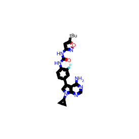 CC(C)(C)c1cc(NC(=O)Nc2ccc(-c3cn(C4CC4)c4ncnc(N)c34)cc2F)no1